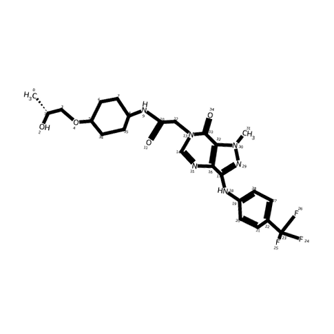 C[C@@H](O)COC1CCC(NC(=O)Cn2cnc3c(Nc4ccc(C(F)(F)F)cc4)nn(C)c3c2=O)CC1